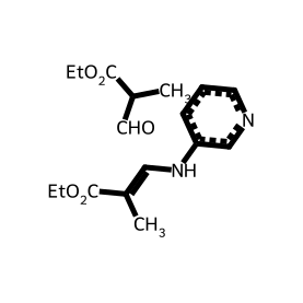 CCOC(=O)/C(C)=C/Nc1cccnc1.CCOC(=O)C(C)C=O